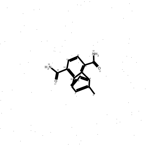 Cc1cc2ccc1c1c(C(N)=O)ccc(C(N)=O)c21